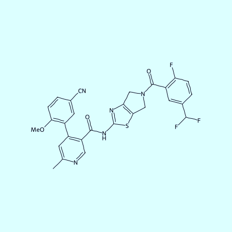 COc1ccc(C#N)cc1-c1cc(C)ncc1C(=O)Nc1nc2c(s1)CN(C(=O)c1cc(C(F)F)ccc1F)C2